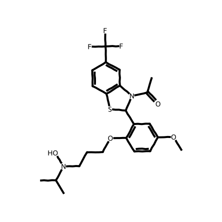 COc1ccc(OCCCN(O)C(C)C)c(C2Sc3ccc(C(F)(F)F)cc3N2C(C)=O)c1